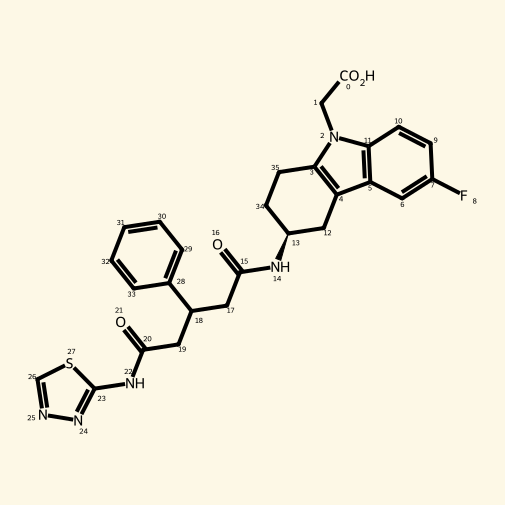 O=C(O)Cn1c2c(c3cc(F)ccc31)C[C@@H](NC(=O)CC(CC(=O)Nc1nncs1)c1ccccc1)CC2